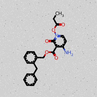 CCC(=O)On1ccc(N)c(C(=O)OCc2ccccc2Cc2ccccc2)c1=O